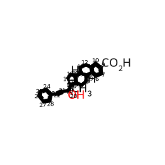 C[C@]12CC[C@@H]3c4ccc(C(=O)O)cc4CC[C@H]3[C@@H]1CC[C@@H]2[C@@H](O)C#Cc1ccccc1